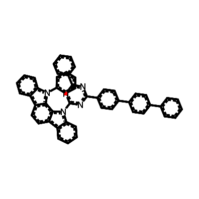 c1ccc(-c2ccc(-c3ccc(-c4nc(-c5ccccc5)nc(-n5c6ccccc6c6ccc7c8ccccc8n(-c8ccccc8)c7c65)n4)cc3)cc2)cc1